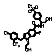 CCS(=O)(=O)c1ccc(C(CO)NC(=O)c2cc3cc(Cc4ccc(Cl)cc4C(F)(F)F)n(CCO)c3cc2F)cc1